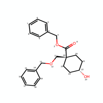 O=C(OCc1ccccc1)[C@]1(COCc2ccccc2)CC[C@H](O)CC1